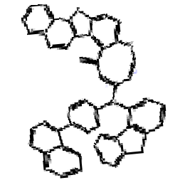 C=C1/C=C(N(c2ccc(-c3cccc4ccccc34)cc2)c2cccc3c2-c2ccccc2C3)\C=C/Sc2ccc3sc4c5ccccc5ccc4c3c21